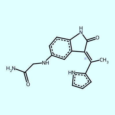 C/C(=C1\C(=O)Nc2ccc(NCC(N)=O)cc21)c1ccc[nH]1